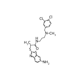 CC(Sc1nc2ccc(N)cc2s1)C(=O)NCCCN(C)Cc1ccc(Cl)c(Cl)c1